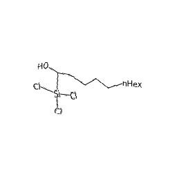 CCCCCCCCCCC(O)[Si](Cl)(Cl)Cl